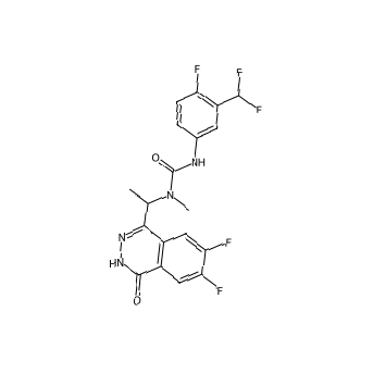 CC(c1n[nH]c(=O)c2cc(F)c(F)cc12)N(C)C(=O)Nc1ccc(F)c(C(F)F)c1